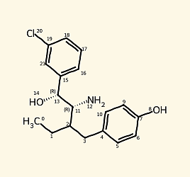 CCC(Cc1ccc(O)cc1)[C@@H](N)[C@H](O)c1cccc(Cl)c1